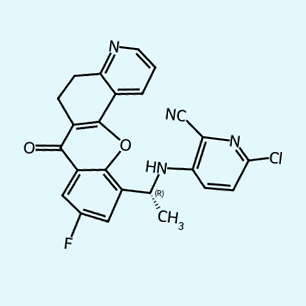 C[C@@H](Nc1ccc(Cl)nc1C#N)c1cc(F)cc2c(=O)c3c(oc12)-c1cccnc1CC3